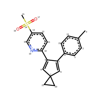 Cc1ccc(C2=CC3(C=C2c2ccc(S(C)(=O)=O)cn2)CC3)cc1